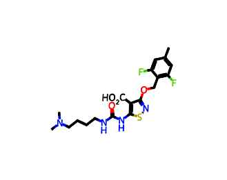 Cc1cc(F)c(COc2nsc(NC(=O)NCCCCN(C)C)c2C(=O)O)c(F)c1